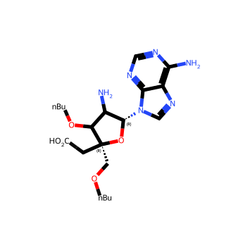 CCCCOC[C@@]1(CC(=O)O)O[C@@H](n2cnc3c(N)ncnc32)C(N)C1OCCCC